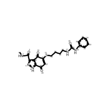 CNC(=O)c1n[nH]c2c1C(=O)C(SCCCCNC(=O)Nc1ccccc1)=CC2=O